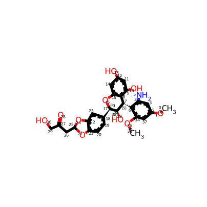 COc1cc(N)c([C@H]2c3c(O)cc(O)cc3O[C@H](c3ccc4c(c3)OC(CC(=O)CO)O4)[C@@H]2O)c(OC)c1